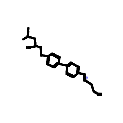 CN(C)CC(O)COc1ccc(-c2ccc(/C=C/CCO)cc2)cc1